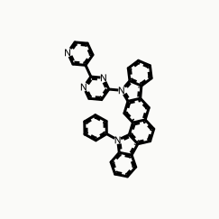 c1ccc(-n2c3ccccc3c3ccc4cc5c6ccccc6n(-c6ccnc(-c7cccnc7)n6)c5cc4c32)cc1